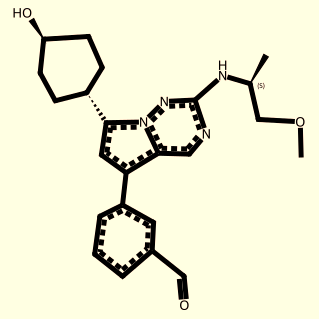 COC[C@H](C)Nc1ncc2c(-c3cccc(C=O)c3)cc([C@H]3CC[C@H](O)CC3)n2n1